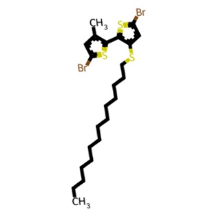 CCCCCCCCCCCCCCSc1cc(Br)sc1-c1sc(Br)cc1C